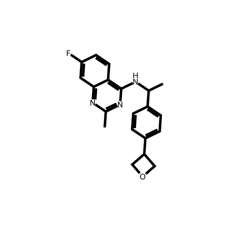 Cc1nc(NC(C)c2ccc(C3COC3)cc2)c2ccc(F)cc2n1